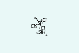 C[Si](Cl)(Cl)Cl.[SiH4]